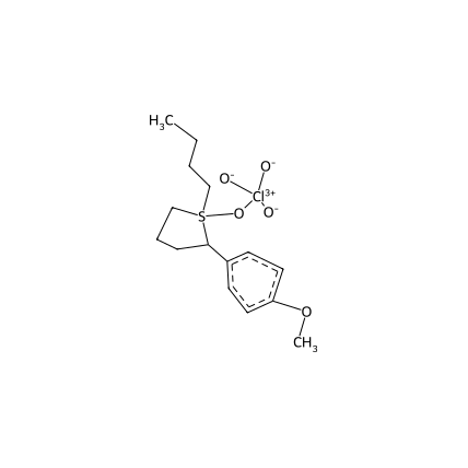 CCCCS1(O[Cl+3]([O-])([O-])[O-])CCCC1c1ccc(OC)cc1